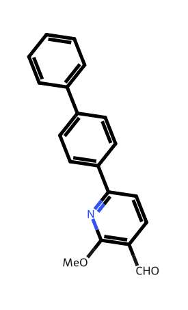 COc1nc(-c2ccc(-c3ccccc3)cc2)ccc1C=O